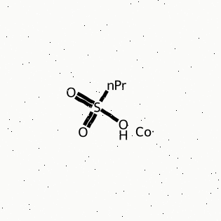 CCCS(=O)(=O)O.[Co]